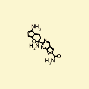 NC(=O)c1cc2cnc(C3(N)CC=C4C(N)=CC=C4O3)nc2s1